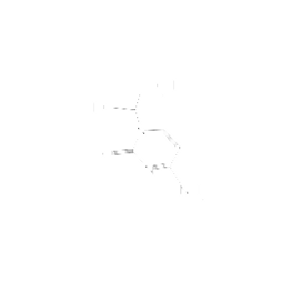 CC(C(=O)O)n1ccc(N)nc1=O